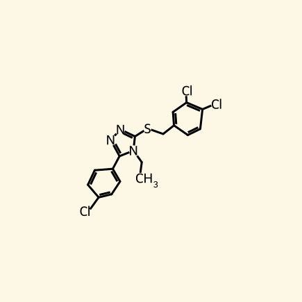 CCn1c(SCc2ccc(Cl)c(Cl)c2)nnc1-c1ccc(Cl)cc1